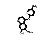 COc1cc2c(Oc3ccc([N+](=O)[O-])cn3)ccnc2cc1O